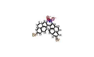 O=[N+]([O-])c1cc2ccc3cc(Br)cc4ccc(c1-c1c([N+](=O)[O-])cc5ccc6cc(Br)cc7ccc1c5c67)c2c34